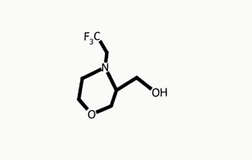 OCC1COCCN1CC(F)(F)F